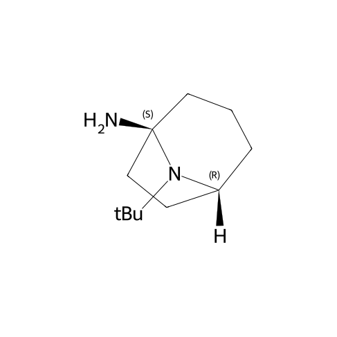 CC(C)(C)N1[C@@H]2CCC[C@@]1(N)CC2